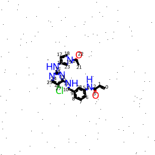 C=CC(=O)Nc1cccc(CNc2nc(Nc3ccn(C(C)=O)c3)ncc2Cl)c1